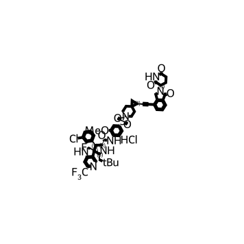 COc1cc(S(=O)(=O)N2CCC3(CC2)C[C@H]3C#Cc2cccc3c2CN([C@H]2CCC(=O)NC2=O)C3=O)ccc1NC(=O)[C@@H]1N[C@@H](CC(C)(C)C)[C@@]2(CNc3cc(C(F)(F)F)ncc32)[C@H]1c1cccc(Cl)c1F.Cl